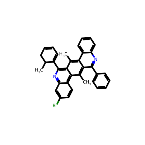 Cc1c2c(-c3ccccc3)nc3ccccc3c2c(C)c2c(C3=CC=CCC3C)nc3cc(Br)ccc3c12